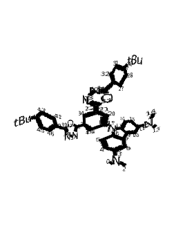 CN(C)c1ccc2c(c1)c1cc(N(C)C)ccc1n2-c1cc(-c2nnc(-c3ccc(C(C)(C)C)cc3)o2)cc(-c2nnc(-c3ccc(C(C)(C)C)cc3)o2)c1